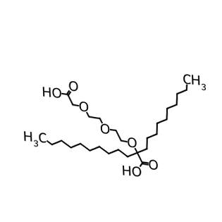 CCCCCCCCCCC(CCCCCCCCCC)(OCCOCCOCC(=O)O)C(=O)O